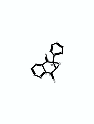 CCCCC12OC1(c1ccccc1)C(=O)c1ccccc1C2=O